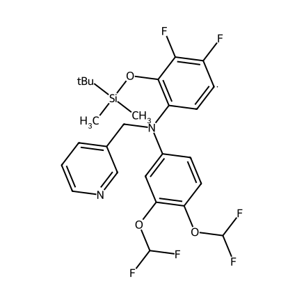 CC(C)(C)[Si](C)(C)Oc1c(N(Cc2cccnc2)c2ccc(OC(F)F)c(OC(F)F)c2)c[c]c(F)c1F